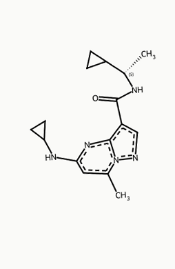 Cc1cc(NC2CC2)nc2c(C(=O)N[C@@H](C)C3CC3)cnn12